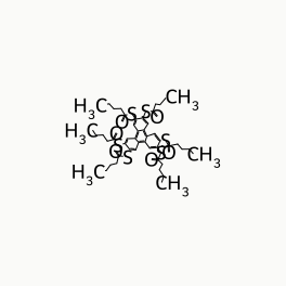 CCCCC(=O)Sc1cc2c3cc(SC(=O)CCCC)c(SC(=O)CCCC)cc3c3cc(SC(=O)CCCC)c(SC(=O)CCCC)cc3c2cc1SC(=O)CCCC